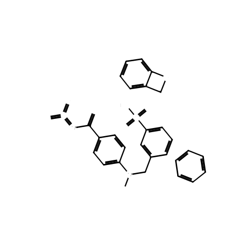 CCN(Cc1cccc(S(C)(=O)=O)c1)c1ccc(C(=O)N=S(=O)=O)cc1.c1ccc2c(c1)CO2.c1ccccc1